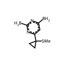 Bc1cc(C2(SC)CC2)nc(B)n1